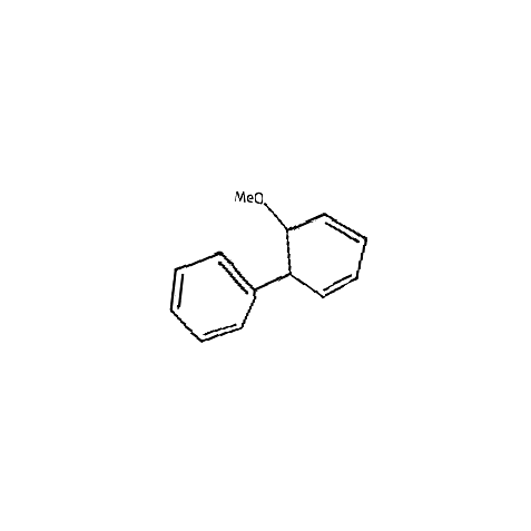 COC1C=CC=CC1c1ccccc1